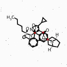 CCCCCS(=O)(=O)NC(=O)c1ccc(N2[C@@H]3CC[C@H]2C[C@@H](OC(=O)c2c(-c4c(Cl)cccc4Cl)noc2C2CC2)C3)cc1